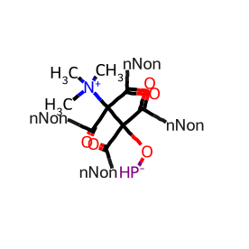 CCCCCCCCCC(=O)C(O[PH-])(C(=O)CCCCCCCCC)C(C(=O)CCCCCCCCC)(C(=O)CCCCCCCCC)[N+](C)(C)C